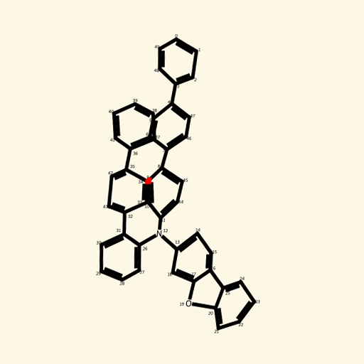 c1ccc(-c2ccc(-c3ccc(N(c4ccc5c(c4)oc4ccccc45)c4ccccc4-c4ccc(-c5ccccc5)cc4)cc3)cc2)cc1